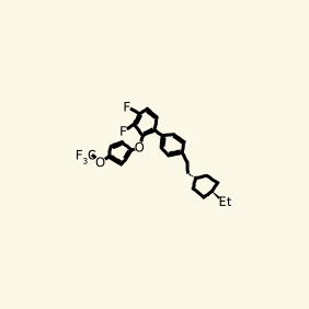 CC[C@H]1CC[C@H](CCc2ccc(-c3ccc(F)c(F)c3Oc3ccc(OC(F)(F)F)cc3)cc2)CC1